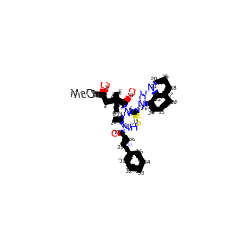 COC(=O)CC(C)(C)C(=O)N(C(=S)Nc1cccc2cccnc12)C(C)NC(=O)/C=C/c1ccccc1